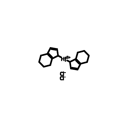 C1=C[CH]([Hf+2][CH]2C=CC3=C2CCCC3)C2=C1CCCC2.[Cl-].[Cl-]